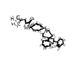 CC(C)CCC(=O)Nc1ccc(CN2CCC(CCc3ccccc3)(c3ccccn3)CC2)cc1